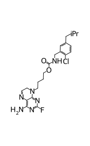 CC(C)Cc1ccc(Cl)c(CNC(=O)OCCCCN2CC=Nc3c(N)nc(F)nc32)c1